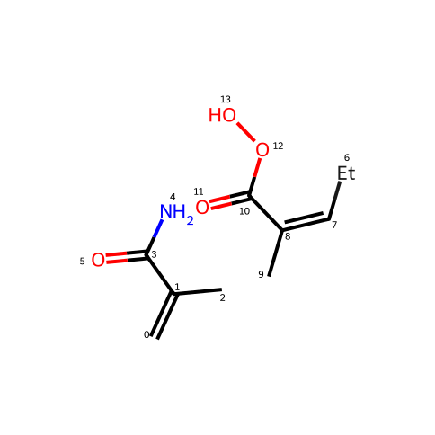 C=C(C)C(N)=O.CCC=C(C)C(=O)OO